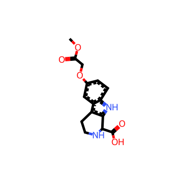 COC(=O)COc1ccc2[nH]c3c(c2c1)CCNC3C(=O)O